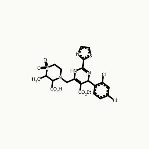 CCOC(=O)C1=C(CN2CCS(=O)(=O)C(C)C2C(=O)O)NC(c2nccs2)=NC1c1ccc(Cl)cc1Cl